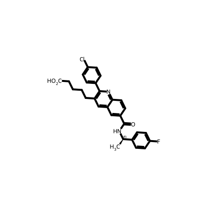 C[C@@H](NC(=O)c1ccc2nc(-c3ccc(Cl)cc3)c(CCCCC(=O)O)cc2c1)c1ccc(F)cc1